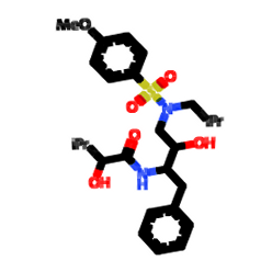 COc1ccc(S(=O)(=O)N(CC(C)C)CC(O)C(Cc2ccccc2)NC(=O)C(O)C(C)C)cc1